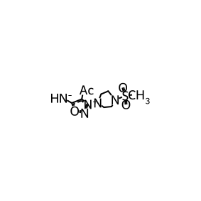 CC(=O)c1c([NH-])on[n+]1N1CCN(S(C)(=O)=O)CC1